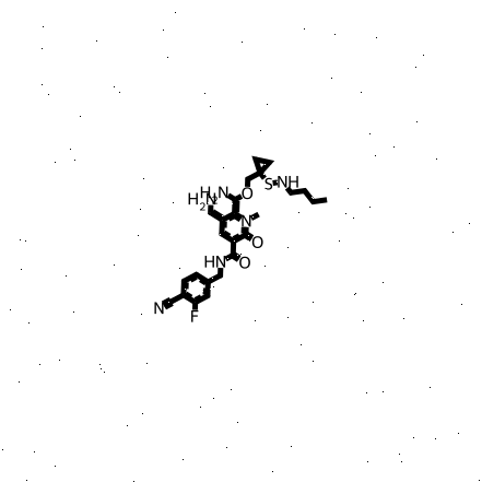 CCCCNSC1(CO/C(N)=c2/c(=C\N)cc(C(=O)NCc3ccc(C#N)c(F)c3)c(=O)n2C)CC1